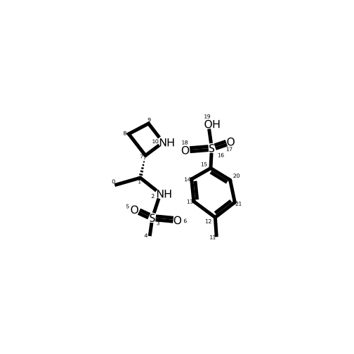 CC(NS(C)(=O)=O)[C@@H]1CCN1.Cc1ccc(S(=O)(=O)O)cc1